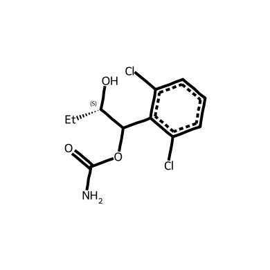 CC[C@H](O)C(OC(N)=O)c1c(Cl)cccc1Cl